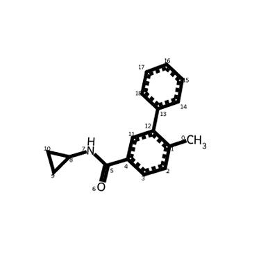 Cc1ccc(C(=O)NC2CC2)cc1-c1ccccc1